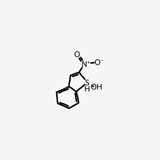 O=[N+]([O-])C1=Cc2ccccc2[SH]1O